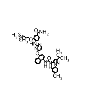 Cc1ccc(-n2nc(C(C)C)cc2NC(=O)Nc2ccc(Oc3ccnc(Nc4ccc(C(N)=O)cc4OCCCN(C)C)n3)c3ccccc23)cc1